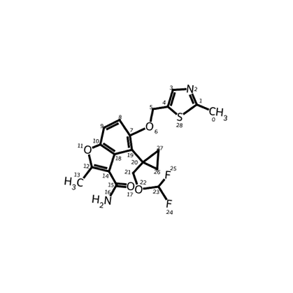 Cc1ncc(COc2ccc3oc(C)c(C(N)=O)c3c2C2(COC(F)F)CC2)s1